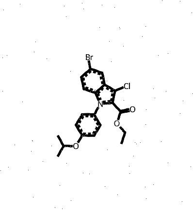 CCOC(=O)c1c(Cl)c2cc(Br)ccc2n1-c1ccc(OC(C)C)cc1